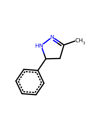 CC1=NNC(c2ccccc2)C1